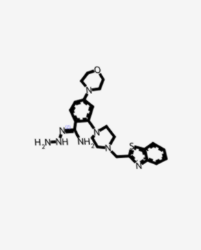 NN/N=C(\N)c1ccc(N2CCOCC2)cc1N1CCN(Cc2nc3ccccc3s2)CC1